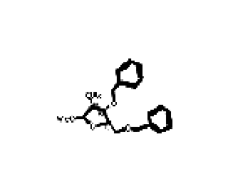 COC1O[C@H](COCc2ccccc2)[C@@H](OCc2ccccc2)[C@H]1OC(C)=O